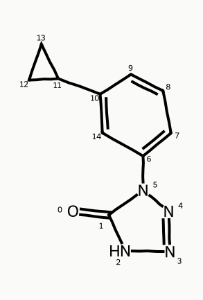 O=c1[nH]nnn1-c1cccc(C2CC2)c1